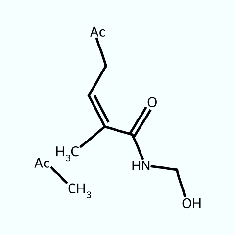 CC(=O)CC=C(C)C(=O)NCO.CC(C)=O